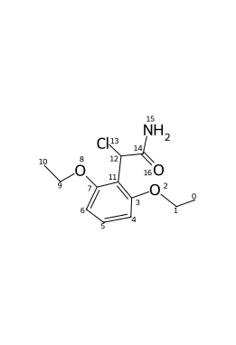 CCOc1cccc(OCC)c1C(Cl)C(N)=O